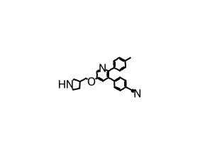 Cc1ccc(-c2ncc(OCC3CCNC3)cc2-c2ccc(C#N)cc2)cc1